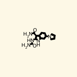 NC(=O)Nc1[nH]c2cc(-n3cccc3)ccc2c1C(N)=O